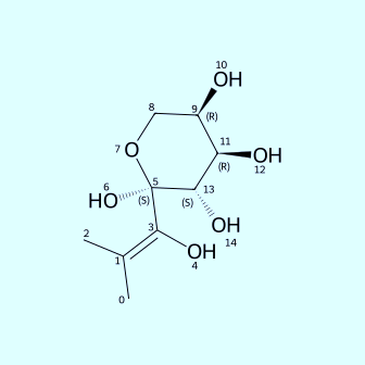 CC(C)=C(O)[C@@]1(O)OC[C@@H](O)[C@@H](O)[C@@H]1O